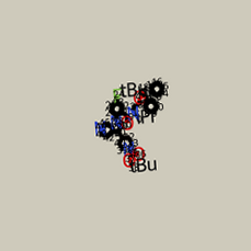 CC(C)N(CCO[Si](c1ccccc1)(c1ccccc1)C(C)(C)C)C(=O)c1cc(F)ccc1-n1cc(C2CCN(C(=O)OC(C)(C)C)CC2)c2ccncc21